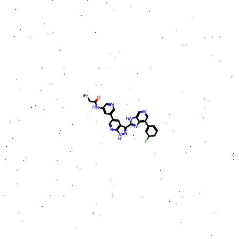 CC(C)CC(=O)Nc1cncc(-c2cnc3[nH]nc(-c4nc5c(C6=CC(F)CC=C6)cncc5[nH]4)c3c2)c1